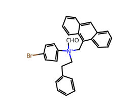 O=C[N+](CCc1ccccc1)(Cc1c2ccccc2cc2ccccc12)c1ccc(Br)cc1